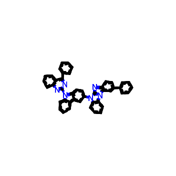 c1ccc(-c2ccc3nc4n(-c5ccc6c(c5)c5ccccc5n6-c5nc(-c6ccccc6)c6ccccc6n5)c5ccccc5n4c3c2)cc1